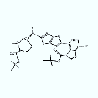 C[C@H]1C[C@@H](N(C)c2nc3sc(-c4ncc(Br)c5ccn(C(=O)OC(C)(C)C)c45)nc3s2)CCN1C(=O)OC(C)(C)C